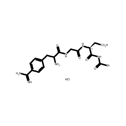 CC(C)C(=O)NC(=O)[C@H](CC(=O)O)NC(=O)CNC(=O)C(N)Cc1ccc(C(=N)N)cc1.Cl